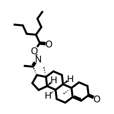 CCCC(CCC)C(=O)ON=C(C)[C@H]1CC[C@H]2[C@@H]3CCC4=CC(=O)CC[C@]4(C)[C@H]3CC[C@]12C